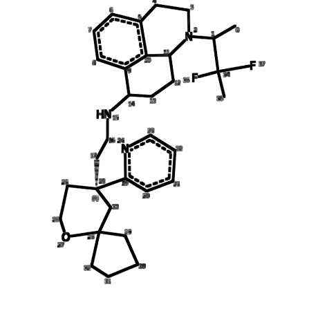 CC(N1CCc2cccc3c2C1CCC3NCC[C@@]1(c2ccccn2)CCOC2(CCCC2)C1)C(C)(F)F